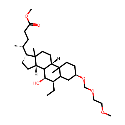 CC[C@@H]1C2C[C@H](OCOCCOC)CCC2(C)[C@H]2CCC3(C)[C@@H]([C@H](C)CCC(=O)OC)CC[C@H]3C2[C@@H]1O